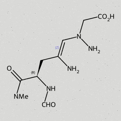 CNC(=O)[C@@H](C/C(N)=C/N(N)CC(=O)O)NC=O